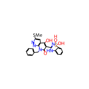 CSc1cc2c(O)c(C3=NS(O)(O)c4ccccc4N3)c(=O)n(Cc3ccccc3)c2nn1